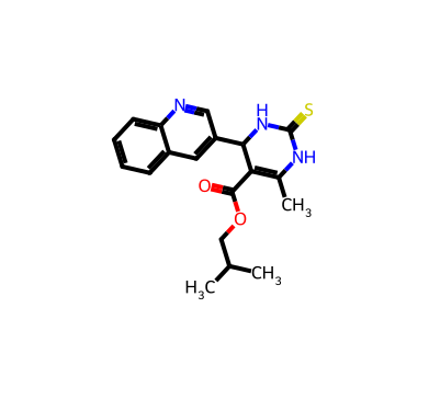 CC1=C(C(=O)OCC(C)C)C(c2cnc3ccccc3c2)NC(=S)N1